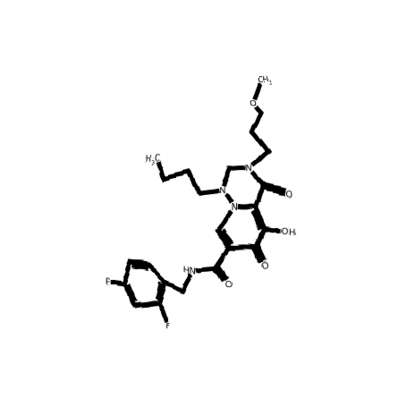 CCCCN1CN(CCCOC)C(=O)c2c(O)c(=O)c(C(=O)NCc3ccc(F)cc3F)cn21